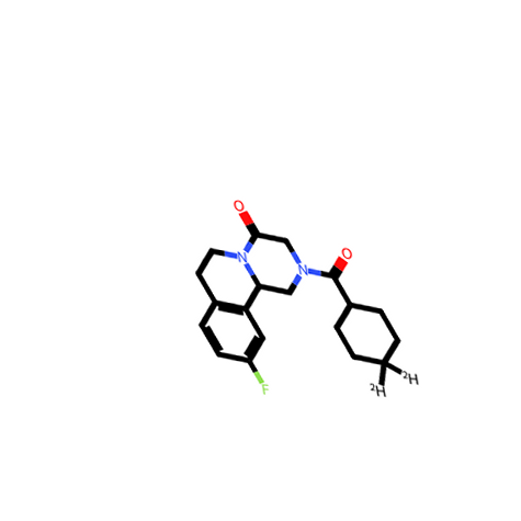 [2H]C1([2H])CCC(C(=O)N2CC(=O)N3CCc4ccc(F)cc4C3C2)CC1